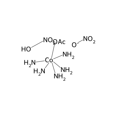 CC(=O)[O][Co]([NH2])([NH2])([NH2])([NH2])[NH2].O=[N+]([O-])O.O=[N+]([O-])[O-]